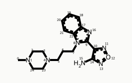 CN1CCN(CCCn2c(-c3nonc3N)nc3ccccc32)CC1